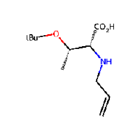 C=CCN[C@@H](C(=O)O)[C@H](C)OC(C)(C)C